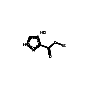 CCOC(=O)c1nc[nH]n1.Cl